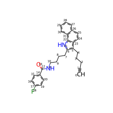 C#CCCCc1c(CCCCNC(=O)c2ccc(F)cc2)[nH]c2c1ccc1ccccc12